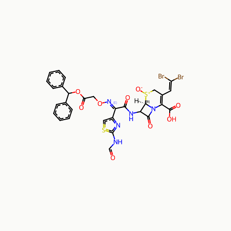 O=CNc1nc(/C(=N\OCC(=O)OC(c2ccccc2)c2ccccc2)C(=O)NC2C(=O)N3C(C(=O)O)=C(C=C(Br)Br)C[S+]([O-])[C@H]23)cs1